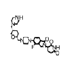 O=C1CCC(N2Cc3c(ccc(N4CCN(C[C@@H]5CC[C@@H](CN6CCNCC6)CO5)CC4)c3F)C2=O)C(=O)N1